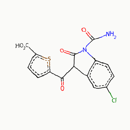 NC(=O)N1C(=O)C(C(=O)c2ccc(C(=O)O)s2)c2cc(Cl)ccc21